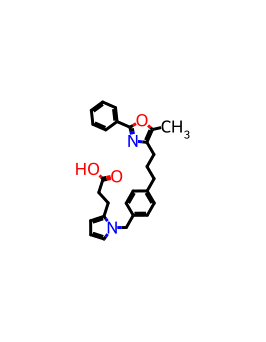 Cc1oc(-c2ccccc2)nc1CCCc1ccc(Cn2cccc2CCC(=O)O)cc1